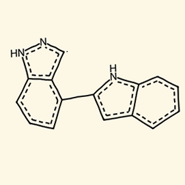 [c]1n[nH]c2cccc(-c3cc4ccccc4[nH]3)c12